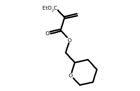 C=C(C(=O)OCC)C(=O)OCC1CCCCO1